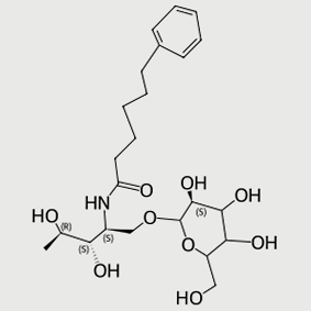 C[C@@H](O)[C@@H](O)[C@H](COC1OC(CO)C(O)C(O)[C@@H]1O)NC(=O)CCCCCc1ccccc1